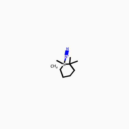 C.CC1(C)CCCC[Si]1(C)[N+]#N